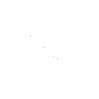 C=CCOc1ccc(C(=O)Oc2ccc(C(=O)OC(C)C(=O)OC(C)OC(=O)C(=C)C)cc2)cc1